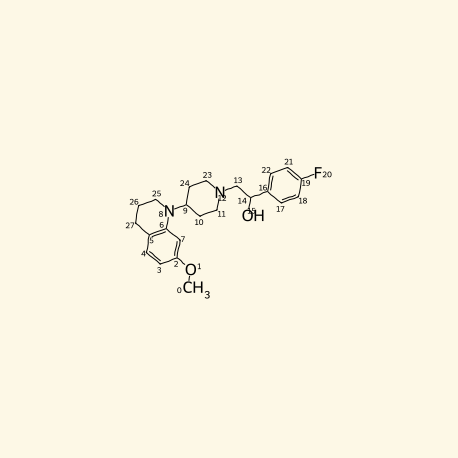 COc1ccc2c(c1)N(C1CCN(CC(O)c3ccc(F)cc3)CC1)CCC2